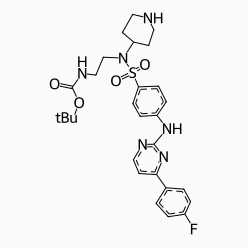 CC(C)(C)OC(=O)NCCN(C1CCNCC1)S(=O)(=O)c1ccc(Nc2nccc(-c3ccc(F)cc3)n2)cc1